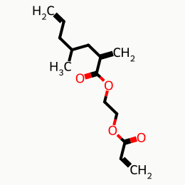 C=CCC(C)CC(=C)C(=O)OCCOC(=O)C=C